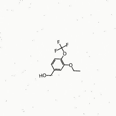 CCOc1cc([CH]O)ccc1OC(F)(F)F